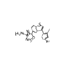 Cc1cc(F)ccc1-c1csc2ccc(C(=O)N=C(N)N)cc12